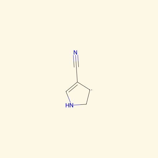 N#CC1=CNC[CH]1